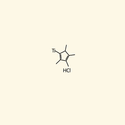 CC1=C(C)C(C)[C]([Ti])=C1C.Cl